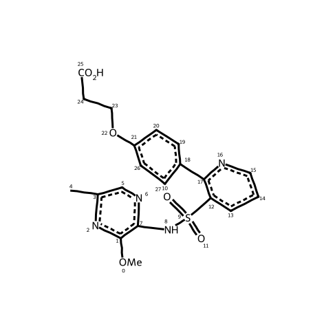 COc1nc(C)cnc1NS(=O)(=O)c1cccnc1-c1ccc(OCCC(=O)O)cc1